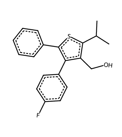 CC(C)c1sc(-c2ccccc2)c(-c2ccc(F)cc2)c1CO